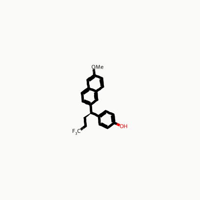 COc1ccc2cc([C@H](CCC(F)(F)F)c3ccc(O)cc3)ccc2c1